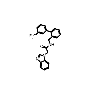 O=C(Cn1cnc2ccccc21)NCc1ccccc1-c1cccc(C(F)(F)F)c1